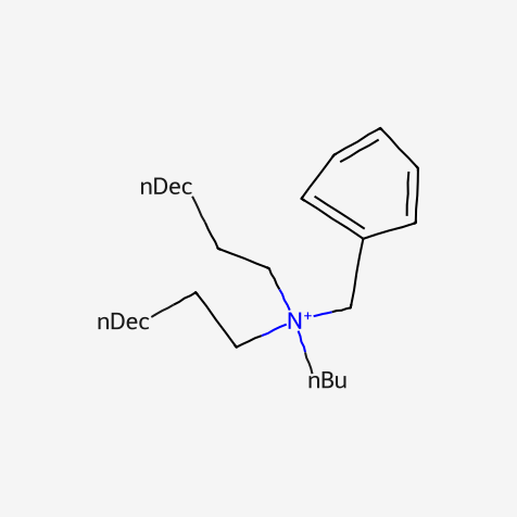 CCCCCCCCCCCC[N+](CCCC)(CCCCCCCCCCCC)Cc1ccccc1